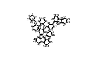 c1ccc(-n2c3ccccc3c3c(N(c4cccc(-c5cccc6c5oc5ccccc56)c4)c4cccc([Si](c5ccccc5)(c5ccccc5)c5ccccc5)c4)cccc32)cc1